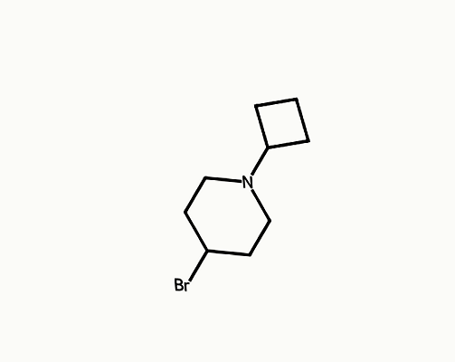 BrC1CCN(C2CCC2)CC1